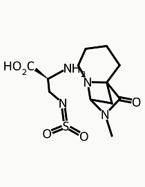 CN1C(=O)C23CCCCN2C1C3.N[C@@H](CN=S(=O)=O)C(=O)O